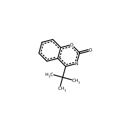 CC(C)(C)c1nc(=O)oc2ccccc12